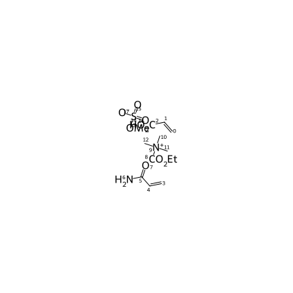 C=CC(=O)O.C=CC(N)=O.CCOC(=O)[N+](C)(C)C.COS(=O)(=O)[O-]